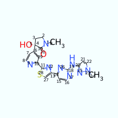 CN1CC[C@](O)(c2ccnc(-c3nc(-c4ccnc(Nc5ccn(C)n5)n4)cs3)c2)C1=O